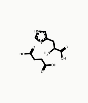 NC(Cc1c[nH]cn1)C(=O)O.O=C(O)CCC(=O)O